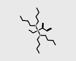 C=CC(=C)[Si](CC)(N(CCCC)CCCC)N(CCCC)CCCC